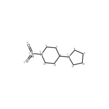 O=[SH](=O)N1CCC(N2CCCC2)CC1